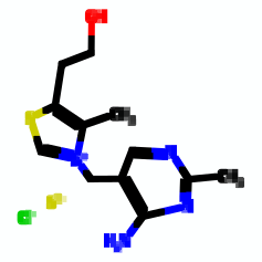 Cc1ncc(C[n+]2csc(CCO)c2C)c(N)n1.[Cl-].[S-2]